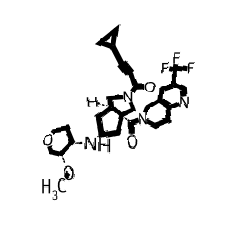 CO[C@@H]1COCC[C@@H]1N[C@@H]1C[C@H]2CN(C(=O)C#CC3CC3)C[C@@]2(C(=O)N2CCc3ncc(C(F)(F)F)cc3C2)C1